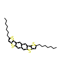 CCCCCCCc1cc2sc3cc4cc5sc6cc(CCCCCCC)sc6c5cc4cc3c2s1